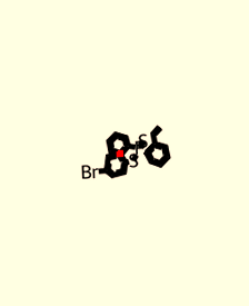 C=Cc1ccccc1P(=S)(Sc1ccc(Br)cc1)c1ccccc1